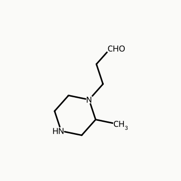 CC1CNCCN1CCC=O